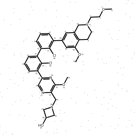 COCCN1CCc2c(cc(-c3cccc(-c4cccc(-c5cnc(CN6CC(O)C6)c(OC)n5)c4Cl)c3Cl)cc2OC)C1